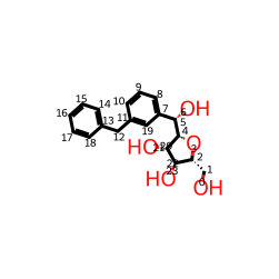 OC[C@H]1O[C@@H]([C@@H](O)c2cccc(Cc3ccccc3)c2)[C@@H](O)[C@@H]1O